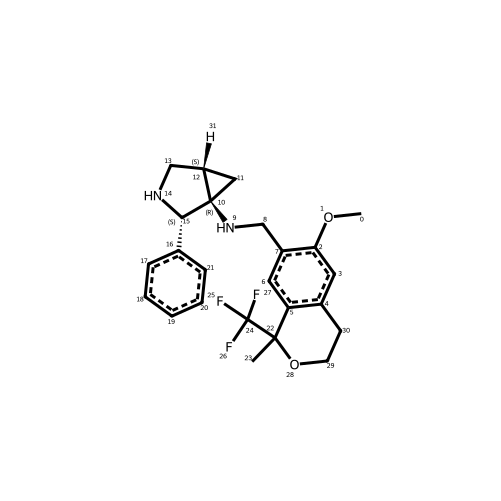 COc1cc2c(cc1CN[C@]13C[C@H]1CN[C@H]3c1ccccc1)C(C)(C(F)(F)F)OCC2